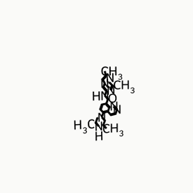 Cc1cn2cc(NC(=O)c3ccc(N4CC(C)NC(C)C4)c4ccnnc34)nc(C)c2n1